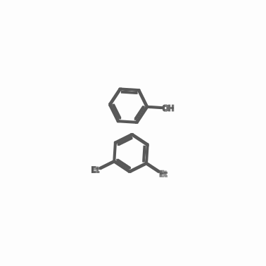 CCc1cccc(CC)c1.Oc1ccccc1